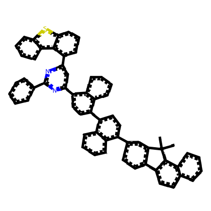 CC1(C)c2cc(-c3ccc(-c4ccc(-c5cc(-c6cccc7sc8ccccc8c67)nc(-c6ccccc6)n5)c5ccccc45)c4ccccc34)ccc2-c2ccc3ccccc3c21